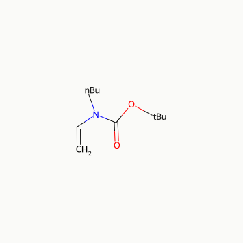 C=CN(CCCC)C(=O)OC(C)(C)C